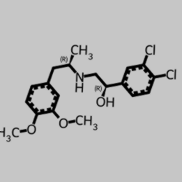 COc1ccc(C[C@@H](C)NC[C@H](O)c2ccc(Cl)c(Cl)c2)cc1OC